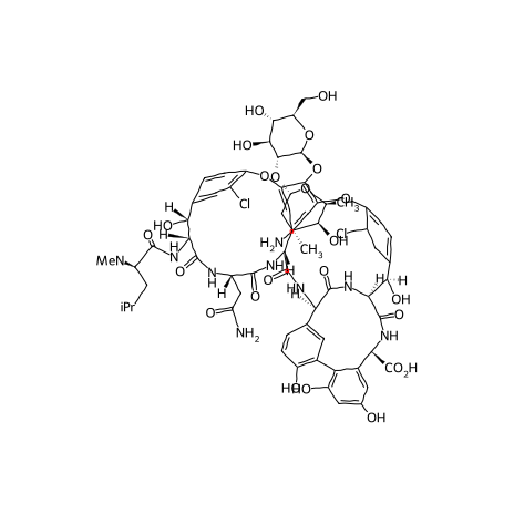 CN[C@H](CC(C)C)C(=O)N[C@H]1C(=O)N[C@@H](CC(N)=O)C(=O)N[C@H]2C(=O)N[C@H]3C(=O)N[C@H](C(=O)N[C@@H](C(=O)O)c4cc(O)cc(O)c4-c4cc3ccc4O)[C@H](O)C3=CC=C(Oc4cc2cc(c4O[C@@H]2O[C@H](CO)[C@@H](O)[C@H](O)[C@H]2O[C@H]2C[C@](C)(N)[C@H](O)[C@H](C)O2)Oc2ccc(cc2Cl)[C@H]1O)C(Cl)C3